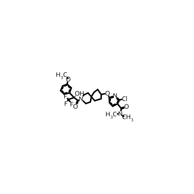 COc1cccc([C@@](O)(C(=O)N2CCC3(CCC(Oc4ccc(C(=O)N(C)C)c(Cl)n4)CC3)CC2)C(F)(F)F)c1